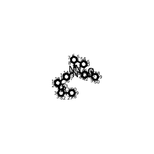 c1ccc(-c2ccccc2-c2nc(-c3ccc(-c4cccc5c4sc4c(-c6ccccc6)cccc45)cc3)nc(-c3ccc4c(c3)oc3ccccc34)n2)cc1